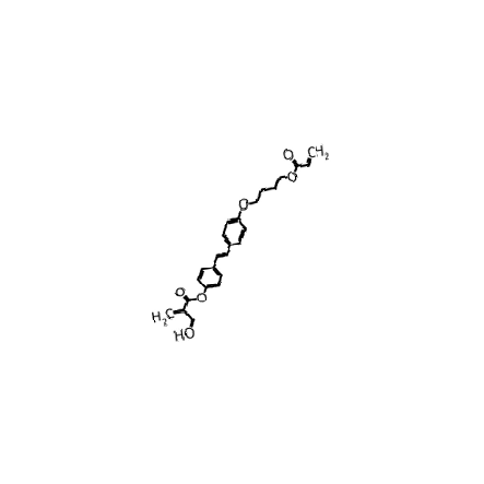 C=CC(=O)OCCCCOc1ccc(/C=C/c2ccc(OC(=O)C(=C)CO)cc2)cc1